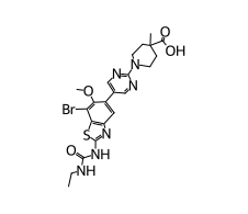 CCNC(=O)Nc1nc2cc(-c3cnc(N4CCC(C)(C(=O)O)CC4)nc3)c(OC)c(Br)c2s1